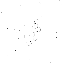 Nc1c(C(=O)c2cccc(-c3ccccc3)c2N)cccc1-c1ccccc1